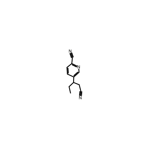 CCC(CC#N)c1ccc(C#N)nc1